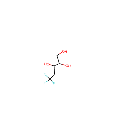 OCC(O)C(O)CC(F)(F)F